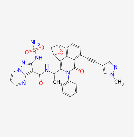 CC(NC(=O)c1c(NS(N)(=O)=O)nn2cccnc12)c1c2c3c(ccc(C#Cc4cnn(C)c4)c3c(=O)n1-c1ccccc1)C1CC2O1